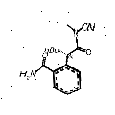 CCCC[C@H](C(=O)N(C)C#N)c1ccccc1C(N)=O